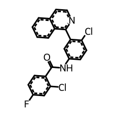 O=C(Nc1ccc(Cl)c(-c2nccc3ccccc23)c1)c1ccc(F)cc1Cl